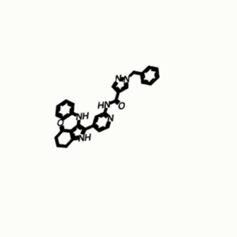 O=C(Nc1cc(-c2[nH]c3c(c2Nc2ccccc2)C(=O)CCC3)ccn1)c1cnn(Cc2ccccc2)c1